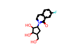 O=c1c2cc(F)ccc2ccn1C1CC(CO)C(O)C1O